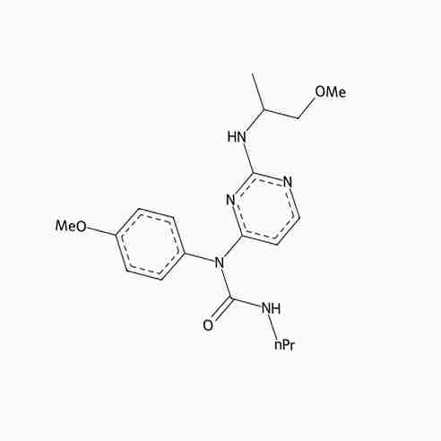 CCCNC(=O)N(c1ccc(OC)cc1)c1ccnc(NC(C)COC)n1